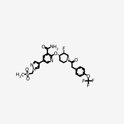 CS(=O)(=O)Cn1cc(-c2cnc(O[C@H]3CCN(C(=O)Cc4ccc(OC(F)(F)F)cc4)C[C@@H]3F)c(C(N)=O)c2)cn1